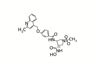 Cc1cc(COc2ccc(C(=O)NC3CN(S(C)(=O)=O)C[C@@H]3C(=O)NO)cc2)c2ccccc2n1